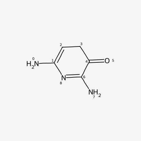 NC1=CCC(=O)C(N)=N1